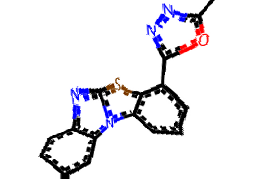 Cc1nnc(-c2cccc3c2sc2nc4ccccc4n23)o1